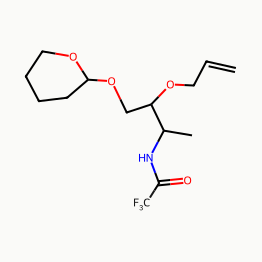 C=CCOC(COC1CCCCO1)C(C)NC(=O)C(F)(F)F